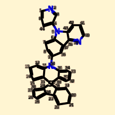 c1cncc(-n2c3ccc(N4c5ccccc5[Si]5(c6ccccc6-c6ccccc65)c5ccccc54)cc3c3ncccc32)c1